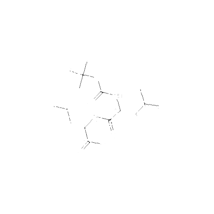 CCC[C@H](NC(=O)[C@@H](CC(C)C)NC(=O)OC(C)(C)C)C(=O)O